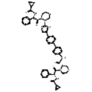 O=C(N[C@@H](C(=O)N1CCOC[C@H]1C(=O)Nc1ccc(-c2ccc(-c3cnc([C@@H]4COCCN4C(=O)[C@H](NC(=O)C4CC4)c4ccccc4)[nH]3)cc2)cc1)c1ccccc1)C1CC1